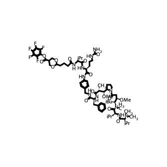 CC[C@H](C)[C@@H]([C@@H](CC(=O)N1CCCC1[C@H](OC)[C@@H](C)C(=O)N[C@@H](Cc1ccccc1)C(=O)NCc1ccc(NC(=O)[C@H](CCCNC(N)=O)NC(=O)[C@@H](NC(=O)CCCC2OCC(C(=O)Oc3c(F)c(F)c(F)c(F)c3F)CO2)C(C)C)cc1)OC)N(C)C(=O)[C@@H](NC(=O)[C@H](C(C)C)N(C)C)C(C)C